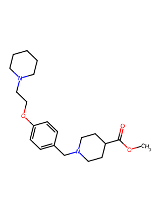 COC(=O)C1CCN(Cc2ccc(OCCN3CCCCC3)cc2)CC1